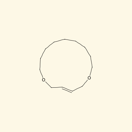 C1=C/COCCCCCCCCCOC/1